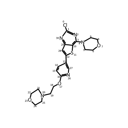 Clc1nc(N2CCOCC2)c2sc(-c3ccc(OCCN4CCOCC4)nc3)cc2n1